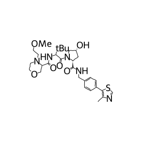 COCCN1CCOCC1C(=O)NC(C(=O)N1C[C@H](O)C[C@H]1C(=O)NCc1ccc(-c2scnc2C)cc1)C(C)(C)C